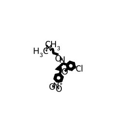 CN(C)CCCON=C1c2ccc(Cl)cc2OC2(c3ccc([N+](=O)[O-])cc3)CC12